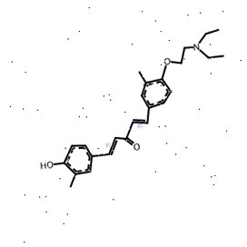 CCN(CC)CCOc1ccc(/C=C/C(=O)/C=C/c2ccc(O)c(C)c2)cc1C